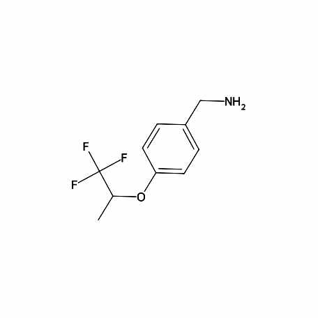 CC(Oc1ccc(CN)cc1)C(F)(F)F